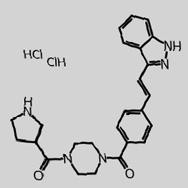 Cl.Cl.O=C(c1ccc(/C=C/c2n[nH]c3ccccc23)cc1)N1CCN(C(=O)C2CCNC2)CC1